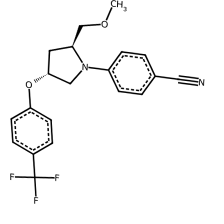 COC[C@@H]1C[C@@H](Oc2ccc(C(F)(F)F)cc2)CN1c1ccc(C#N)cc1